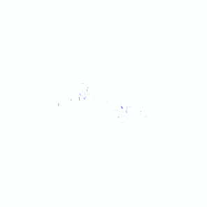 C1=CC(c2ccccc2)CC(n2c3c(c4ccccc42)=CC(C2=CCC(C4=Cc5c(n(C6=CC=C(c7ccccc7)CC6)c6ccccc56)CC4)CC2)CC=3)=C1